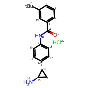 CC(C)(C)c1cccc(C(=O)Nc2ccc([C@@H]3C[C@H]3N)cc2)c1.Cl